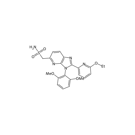 CCOc1cccc(-c2nc3ccc(CS(N)(=O)=O)nc3n2-c2c(OC)cccc2OC)n1